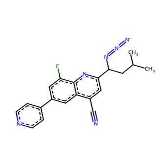 CC(C)CC(N=[N+]=[N-])c1cc(C#N)c2cc(-c3ccncc3)cc(F)c2n1